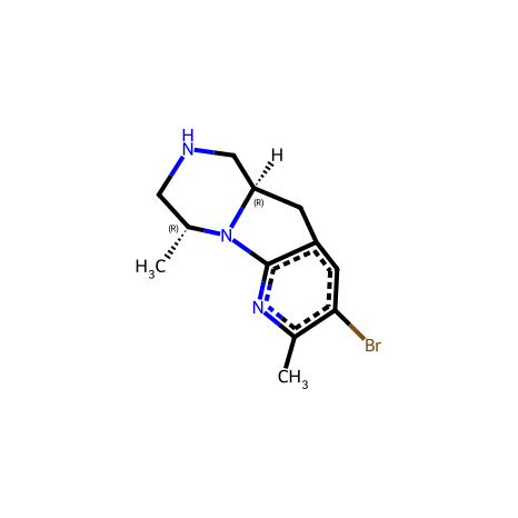 Cc1nc2c(cc1Br)C[C@@H]1CNC[C@@H](C)N21